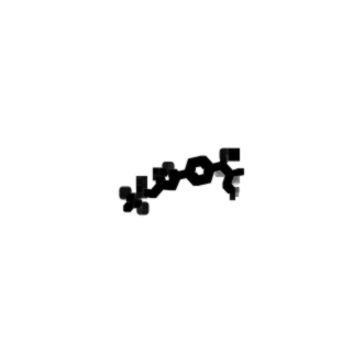 C[C@@H](CF)[C@H](O)c1ccc(-c2cc(CNS(C)(=O)=O)no2)cc1